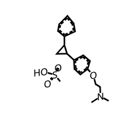 CN(C)CCOc1ccc(C2CC2c2ccccc2)cc1.CS(=O)(=O)O